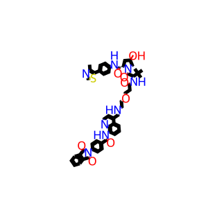 Cc1ncsc1-c1ccc(NC(=O)[C@@H]2C[C@@H](O)CN2C(=O)C(NC(=O)CCOCCNCc2ccnc3c(NC(=O)c4ccc(N5C(=O)C6C7C=CC(C7)C6C5=O)cc4)cccc23)C(C)(C)C)cc1